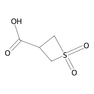 O=C(O)C1CS(=O)(=O)C1